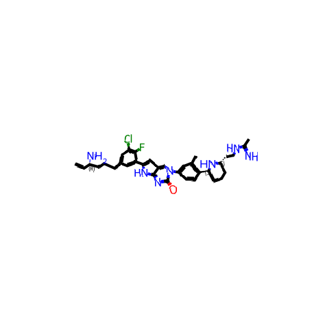 C=C[C@H](N)CCCc1cc(Cl)c(F)c(-c2cc3cn(-c4ccc([C@@H]5CCC[C@@H](CCNC(C)=N)N5)c(C)c4)c(=O)nc3[nH]2)c1